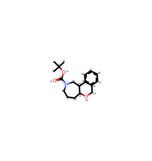 CC(C)(C)OC(=O)N1CCCC2OCc3ccccc3C2C1